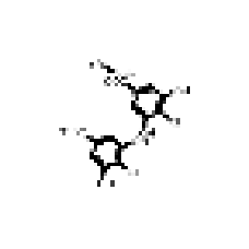 CC[CH2][Co+2].O=C([O-])c1cc(O)c(O)c(O)c1.O=C([O-])c1cc(O)c(O)c(O)c1